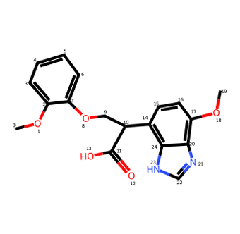 COc1ccccc1OCC(C(=O)O)c1ccc(OC)c2nc[nH]c12